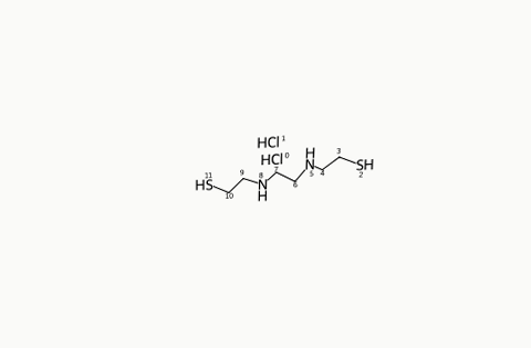 Cl.Cl.SCCNCCNCCS